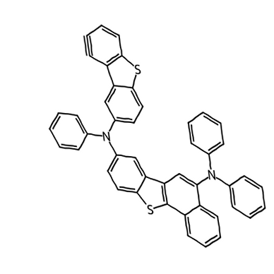 c1ccc2sc3ccc(N(c4ccccc4)c4ccc5sc6c7ccccc7c(N(c7ccccc7)c7ccccc7)cc6c5c4)cc3c2c#1